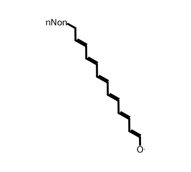 CCCCCCCCCCC=CC=CC=CC=CC=CC=C[O]